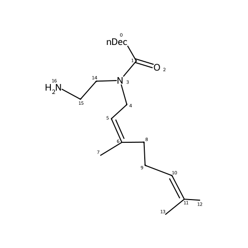 CCCCCCCCCCC(=O)N(CC=C(C)CCC=C(C)C)CCN